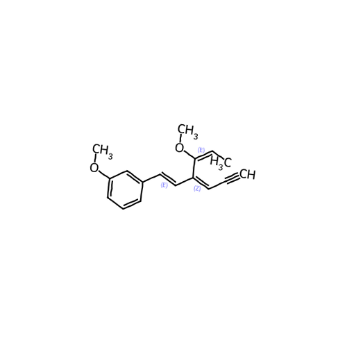 C#C/C=C(/C=C/c1cccc(OC)c1)C(=C/C)\OC